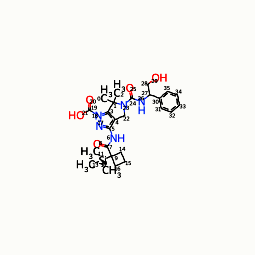 CC1(C)c2c(c(NC(=O)C3([Si](C)(C)C)CCC3)nn2C(=O)O)CN1C(=O)NC(CO)c1ccccc1